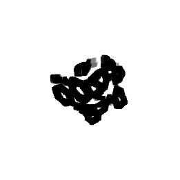 CC(C)(C)c1ccccc1-c1cc2c(cc1C(C)(C)C)-c1cc(C(C)(C)C)c(-c3ccccc3C(C)(C)C)cc1[CH]2[Zr+2]([C]1=CC=CC1)=[C](Cc1ccccc1)Cc1ccccc1.[Cl-].[Cl-]